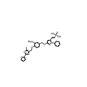 COc1cc(COc2cc(/C=C/P(=O)(O)O)n(-c3ccccc3)n2)ccc1OCc1nc(-c2ccco2)oc1C